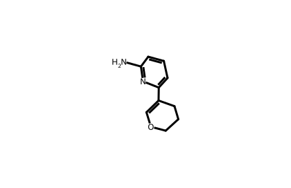 Nc1cccc(C2=COCCC2)n1